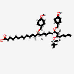 C=CC=C[C@H](C)[C@@H](O[Si](C)(C)C(C)(C)C)[C@H](C)[C@@H](CCC=C[C@H](C)[C@@H](OCc1ccc(OC)cc1)[C@@H](C)C=CCCCCCCCCC(=O)O)OCc1ccc(OC)cc1